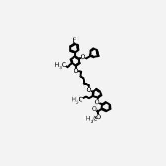 CCCc1c(OCCCCCOc2cc(OCc3ccccc3)c(-c3ccc(F)cc3)cc2CC)cccc1Oc1ccccc1C(=O)OC